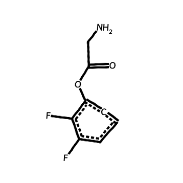 NCC(=O)Oc1cccc(F)c1F